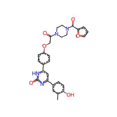 Cc1cc(-c2cc(-c3ccc(OCC(=O)N4CCN(C(=O)c5ccco5)CC4)cc3)[nH]c(=O)n2)ccc1O